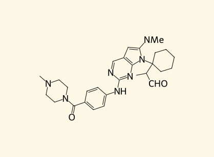 CNc1cc2cnc(Nc3ccc(C(=O)N4CCN(C)CC4)cc3)nc2n1C1(C(C)C=O)CCCCC1